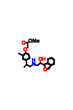 COC(=O)COc1ccc(C(C)CNCC(O)c2occ3ccccc23)cc1C